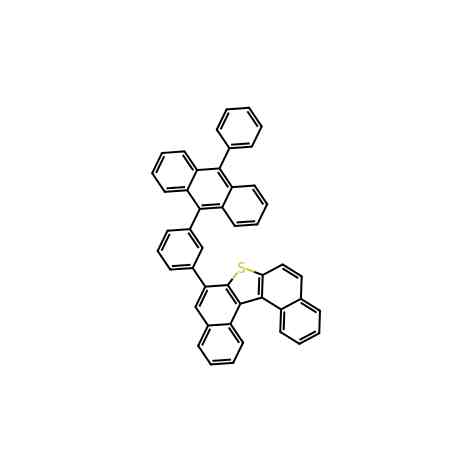 c1ccc(-c2c3ccccc3c(-c3cccc(-c4cc5ccccc5c5c4sc4ccc6ccccc6c45)c3)c3ccccc23)cc1